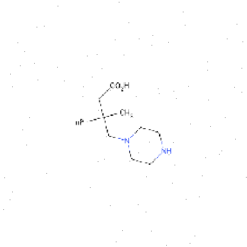 CCCC(C)(CC(=O)O)CN1CCNCC1